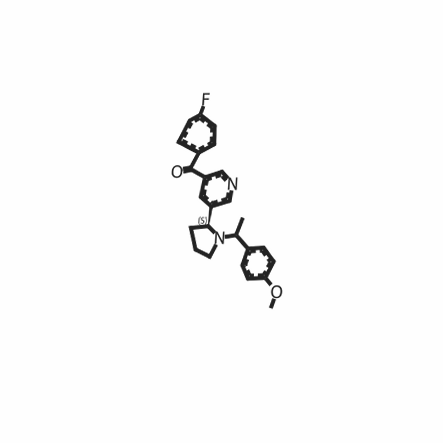 COc1ccc(C(C)N2CCC[C@H]2c2cncc(C(=O)c3ccc(F)cc3)c2)cc1